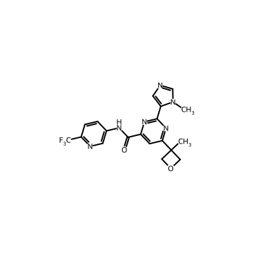 Cn1cncc1-c1nc(C(=O)Nc2ccc(C(F)(F)F)nc2)cc(C2(C)COC2)n1